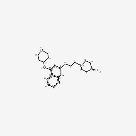 CN1CCN(CCOc2cc(OC3CCOCC3)c3cncnc3c2)CC1